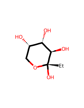 CC[C@@]1(O)OC[C@H](O)[C@H](O)[C@H]1O